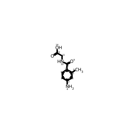 Cc1cc(N)ccc1C(=O)NCC(=O)O